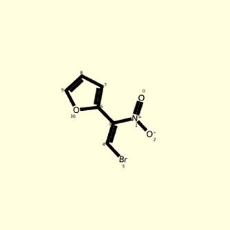 O=[N+]([O-])C(=CBr)c1ccco1